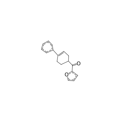 O=C(c1ccco1)C1CC=C(c2ccccc2)CC1